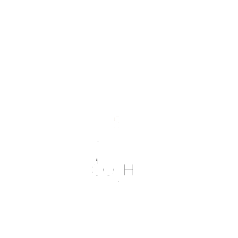 C[C@@H](CSCc1ccccc1)C(=O)O